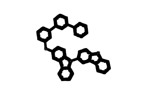 c1ccc(-c2cccc(-c3cccc(Oc4ccc5c(c4)c4ccccc4n5-c4ccc5oc6ccccc6c5c4)c3)c2)cc1